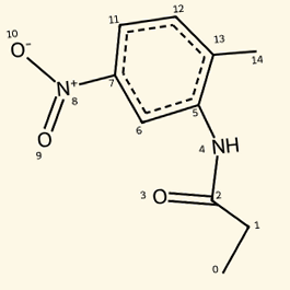 CCC(=O)Nc1cc([N+](=O)[O-])ccc1C